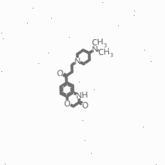 CN(C)C1CCN(CCC(=O)c2ccc3c(c2)NC(=O)CO3)CC1